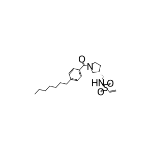 C=CS(=O)(=O)NC[C@H]1CCN(C(=O)c2ccc(CCCCCCC)cc2)C1